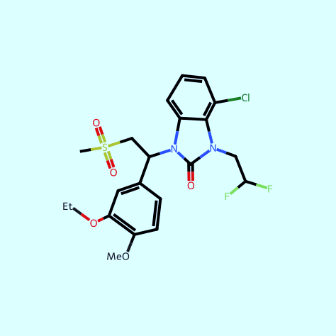 CCOc1cc(C(CS(C)(=O)=O)n2c(=O)n(CC(F)F)c3c(Cl)cccc32)ccc1OC